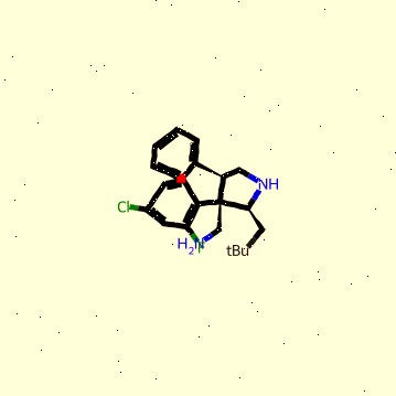 CC(C)(C)C[C@@H]1NC[C@H](c2ccccc2)[C@@]1(CN)c1ccc(Cl)cc1F